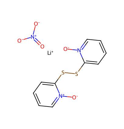 O=[N+]([O-])[O-].[Li+].[O-][n+]1ccccc1SSc1cccc[n+]1[O-]